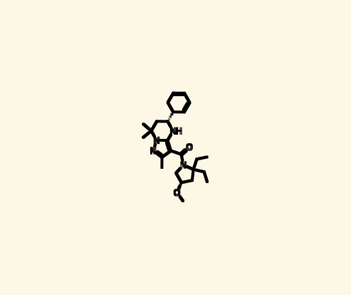 CCC1(CC)C[C@@H](OC)CN1C(=O)c1c(C)nn2c1N[C@@H](C1C=CC=CC1)CC2(C)C